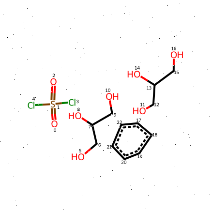 O=S(=O)(Cl)Cl.OCC(O)CO.OCC(O)CO.c1ccccc1